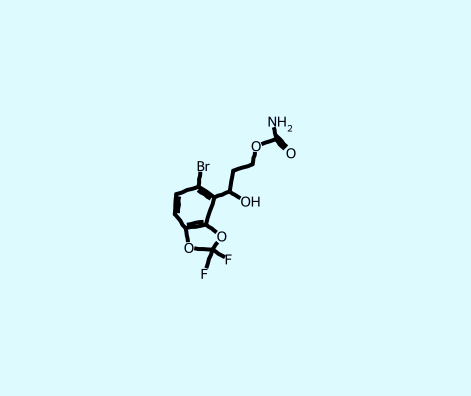 NC(=O)OCCC(O)c1c(Br)ccc2c1OC(F)(F)O2